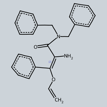 C=CO/C(=C(\N)C(=O)N(Cc1ccccc1)Cc1ccccc1)c1ccccc1